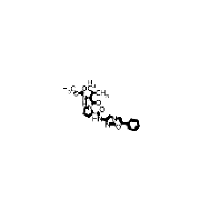 COC(=O)N[C@H](C(=O)N1CCC[C@H]1C(=O)Nc1cn2cc(-c3ccccc3)oc2n1)C(C)C